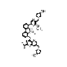 COc1nc(-c2cccc(-c3cccc(Nc4nc(C(F)F)nc5cc(CN6CC[C@H](O)C6)cnc45)c3C)c2Cl)cnc1CN1CC[C@H](O)C1